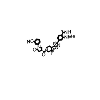 CNc1cc(-c2noc(C3CCN(C(=O)[C@H]4CC(=O)N(c5cccc(C#N)c5)C4)CC3(F)F)n2)ccc1C(C)=N